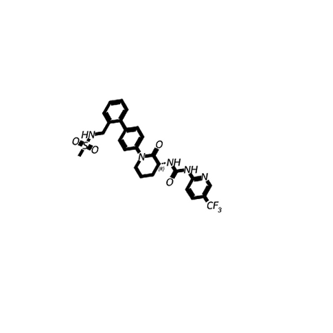 CS(=O)(=O)NCc1ccccc1-c1ccc(N2CCC[C@@H](NC(=O)Nc3ccc(C(F)(F)F)cn3)C2=O)cc1